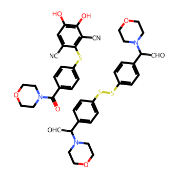 N#Cc1cc(O)c(O)c(C#N)c1Sc1ccc(C(=O)N2CCOCC2)cc1.O=CC(c1ccc(SSc2ccc(C(C=O)N3CCOCC3)cc2)cc1)N1CCOCC1